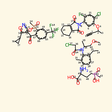 C#CC(C)Oc1cc(N2C(=O)C3=C(CCCC3)C2=O)c(F)cc1Cl.CCc1cccc(C)c1N(C(=O)CCl)C(C)COC.CP(=O)(O)CCC(N)C(=O)O.CS(=O)(=O)c1cc(C(F)(F)F)ccc1C(=O)c1cnoc1C1CC1